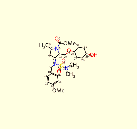 COC(=O)N1[C@H](C)C[C@H](N(Cc2ccc(OC)cc2)S(=O)(=O)N(C)C)[C@@H]1COC1CCC(O)CC1